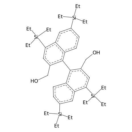 CC[Si](CC)(CC)c1ccc2c(-c3c(CO)cc([Si](CC)(CC)CC)c4cc([Si](CC)(CC)CC)ccc34)c(CO)cc([Si](CC)(CC)CC)c2c1